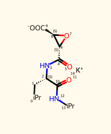 CC(C)C[C@H](NC(=O)[C@H]1O[C@@H]1C(=O)[O-])C(=O)NC(C)C.[K+]